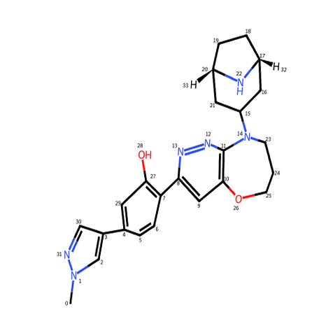 Cn1cc(-c2ccc(-c3cc4c(nn3)N(C3C[C@H]5CC[C@@H](C3)N5)CCCO4)c(O)c2)cn1